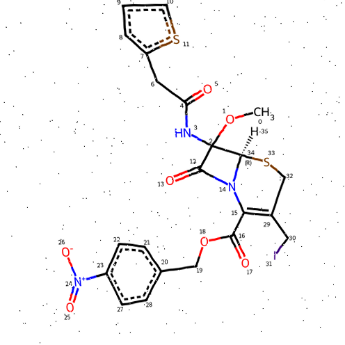 COC1(NC(=O)Cc2cccs2)C(=O)N2C(C(=O)OCc3ccc([N+](=O)[O-])cc3)=C(CI)CS[C@@H]21